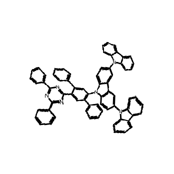 c1ccc(-c2nc(-c3ccccc3)nc(-c3cc(-c4ccccc4)c(-n4c5ccc(-n6c7ccccc7c7ccccc76)cc5c5cc(-n6c7ccccc7c7ccccc76)ccc54)cc3-c3ccccc3)n2)cc1